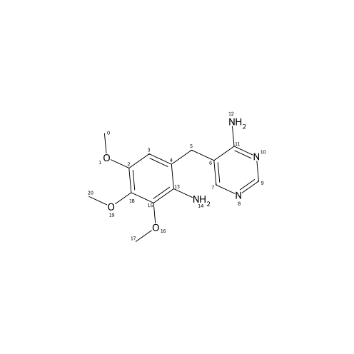 COc1cc(Cc2cncnc2N)c(N)c(OC)c1OC